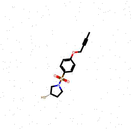 CC#CCOc1ccc(S(=O)(=O)N2CC[C@H](S)C2)cc1